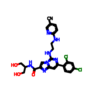 N#Cc1ccc(NCCNc2nc(-c3ccc(Cl)cc3Cl)cc3nc(C(=O)NC(CO)CO)cn23)nc1